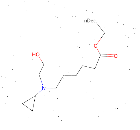 CCCCCCCCCCCOC(=O)CCCCCN(CCO)C1CC1